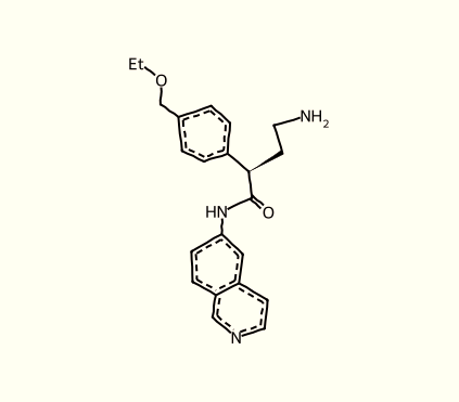 CCOCc1ccc([C@@H](CCN)C(=O)Nc2ccc3cnccc3c2)cc1